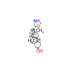 C[C@]12CC[C@H]3[C@@H](CCC4C[C@@H](O)CC[C@@]43C)[C@@H]1CC[C@@H]2C(=O)CN